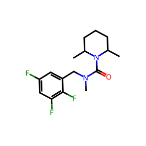 CC1CCCC(C)N1C(=O)N(C)Cc1cc(F)cc(F)c1F